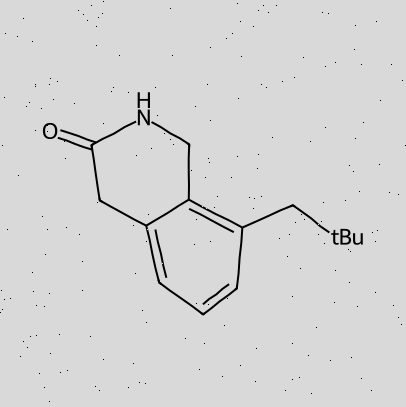 CC(C)(C)Cc1cccc2c1CNC(=O)C2